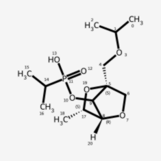 CC(C)OC[C@]12CO[C@@H](C1OP(=O)(O)C(C)C)[C@H](C)O2